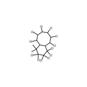 CC1(C)C2C(Cl)C(Cl)C(Cl)C(Cl)C(Cl)C(Cl)C2C(Cl)(Cl)C(Cl)(Cl)C1(Cl)Cl